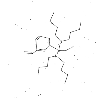 C=Cc1cccc([Si](CC)(N(CCCC)CCCC)N(CCCC)CCCC)c1